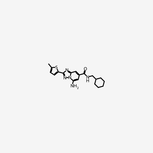 Cc1ccc(-c2nc3cc(C(=O)NCC4CCCCC4)cc(N)n3n2)s1